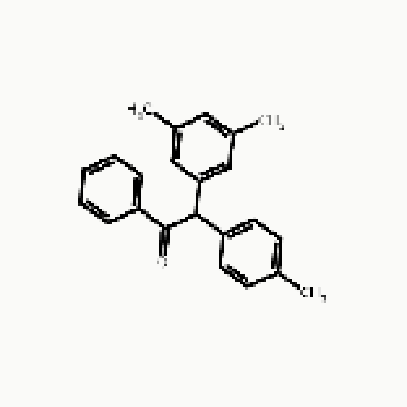 Cc1ccc(C(C(=O)c2ccccc2)c2cc(C)cc(C)c2)cc1